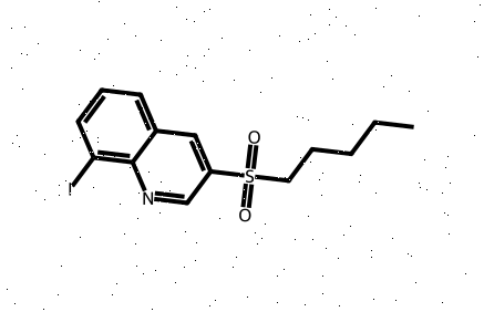 CCCCCS(=O)(=O)c1cnc2c(I)cccc2c1